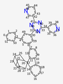 c1ccc(-c2cc(-c3ccc4c(c3)C3(c5ccccc5-4)C4CC5CC(C4)CC3C5)cc(-c3nc(-c4ccncc4)nc(-c4cccnc4)n3)c2)cc1